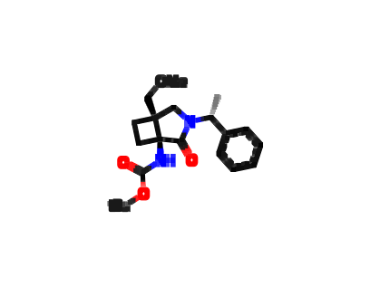 COC[C@]12CC[C@@]1(NC(=O)OC(C)(C)C)C(=O)N([C@H](C)c1ccccc1)C2